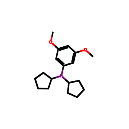 COc1cc(OC)cc(P(C2CCCC2)C2CCCC2)c1